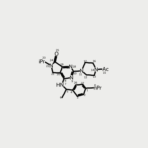 CCCc1ccc(C(C)Nc2nc(N3CCN(C(C)=O)CC3)nc3c2CN(C(C)C)C3=O)cc1